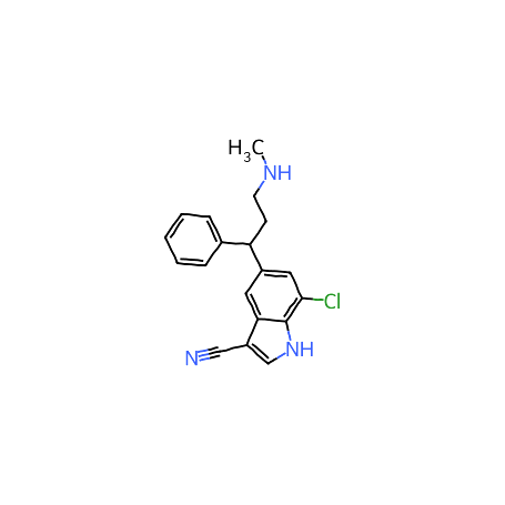 CNCCC(c1ccccc1)c1cc(Cl)c2[nH]cc(C#N)c2c1